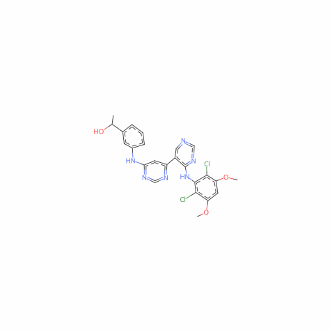 COc1cc(OC)c(Cl)c(Nc2ncncc2-c2cc(Nc3cccc(C(C)O)c3)ncn2)c1Cl